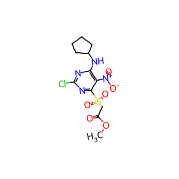 COC(=O)CS(=O)(=O)c1nc(Cl)nc(NC2CCCC2)c1[N+](=O)[O-]